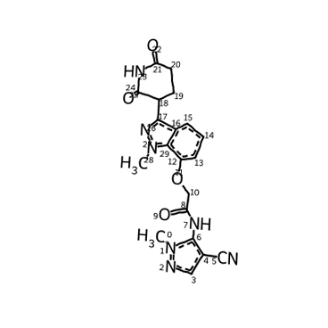 Cn1ncc(C#N)c1NC(=O)COc1cccc2c(C3CCC(=O)NC3=O)nn(C)c12